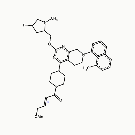 COC/C=C/C(=O)N1CCN(c2nc(OCC3CC(F)CN3C)nc3c2CCN(c2cccc4cccc(C)c24)C3)CC1